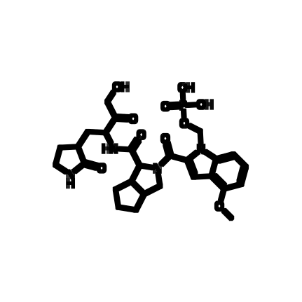 COc1cccc2c1cc(C(=O)N1CC3CCCC3C1C(=O)NC(CC1CCNC1=O)C(=O)CO)n2COP(=O)(O)O